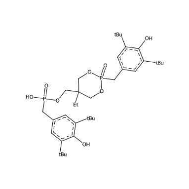 CCC1(COP(=O)(O)Cc2cc(C(C)(C)C)c(O)c(C(C)(C)C)c2)COP(=O)(Cc2cc(C(C)(C)C)c(O)c(C(C)(C)C)c2)OC1